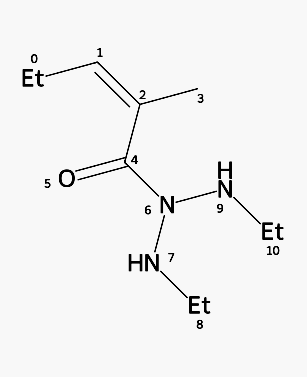 CCC=C(C)C(=O)N(NCC)NCC